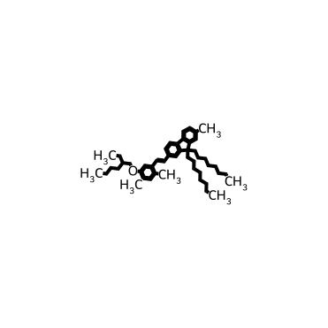 CCCCCCCCC1(CCCCCCCC)c2cc(C)ccc2-c2ccc(/C=C/c3cc(OCC(CC)CCCC)c(C)cc3C)cc21